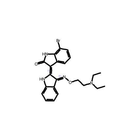 CCN(CC)CCO/N=C1/C(=C2/C(=O)Nc3c(Br)cccc32)Nc2ccccc21